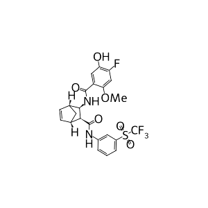 COc1cc(F)c(O)cc1C(=O)N[C@H]1[C@@H](C(=O)Nc2cccc(S(=O)(=O)C(F)(F)F)c2)[C@@H]2C=C[C@H]1C2